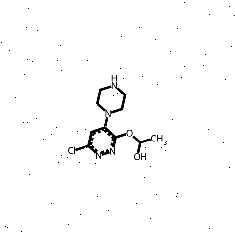 CC(O)Oc1nnc(Cl)cc1N1CCNCC1